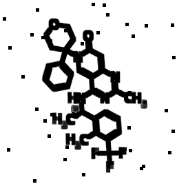 Cc1nc(N[C@H](C)c2cccc(C(F)(F)F)c2C)c2cn(C3(c4ccccc4)CCOCC3)c(=O)cc2n1